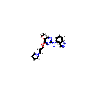 COc1cnc(Nc2cccc3[nH]ncc23)nc1OCCCN1CCCC1